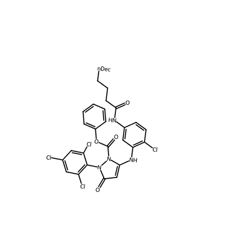 CCCCCCCCCCCCCC(=O)Nc1ccc(Cl)c(Nc2cc(=O)n(-c3c(Cl)cc(Cl)cc3Cl)n2C(=O)Oc2ccccc2)c1